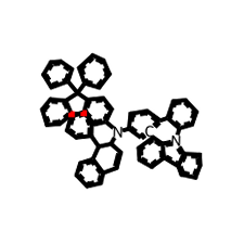 C1=CC(N(c2ccc(-c3ccccc3-n3c4ccccc4c4ccccc43)cc2)c2ccc3c(c2)-c2ccccc2C3(c2ccccc2)c2ccccc2)C(c2ccccc2)c2ccccc21